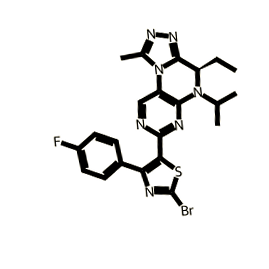 CC[C@@H]1c2nnc(C)n2-c2cnc(-c3sc(Br)nc3-c3ccc(F)cc3)nc2N1C(C)C